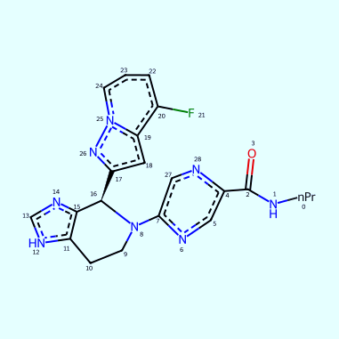 CCCNC(=O)c1cnc(N2CCc3[nH]cnc3[C@H]2c2cc3c(F)cccn3n2)cn1